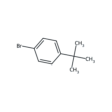 CC(C)(C)c1[c]cc(Br)cc1